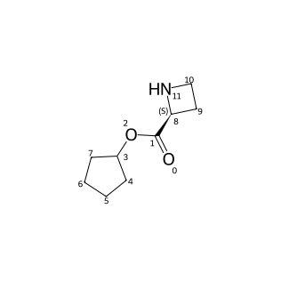 O=C(OC1CCCC1)[C@@H]1CCN1